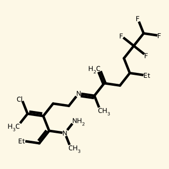 C=C(CC(CC)CC(F)(F)C(F)F)/C(C)=N/CCC(/C(=C\CC)N(C)N)=C(/C)Cl